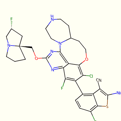 N#Cc1c(N)sc2c(F)ccc(-c3c(Cl)c4c5c(nc(OC[C@@]67CCCN6C[C@H](F)C7)nc5c3F)N3CCNCCC3CCO4)c12